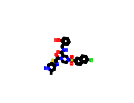 CC1Cc2nc(C(=O)N3CCN(S(=O)(=O)c4ccc5cc(Cl)ccc5c4)CC3C(=O)NCc3ccccc3O)sc2CN1